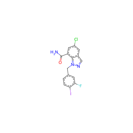 NC(=O)c1cc(Cl)cc2cnn(Cc3ccc(I)c(F)c3)c12